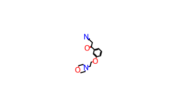 N#CCC(=O)c1cccc(OCCN2CCOCC2)c1